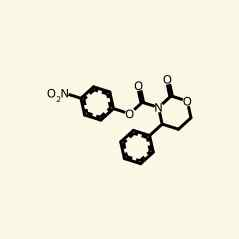 O=C1OCCC(c2ccccc2)N1C(=O)Oc1ccc([N+](=O)[O-])cc1